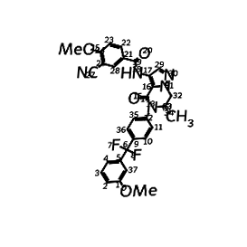 COc1cccc(C(F)(F)c2ccc(N3C(=O)c4c(NC(=O)c5ccc(OC)c(C#N)c5)cnn4C[C@@H]3C)cc2)c1